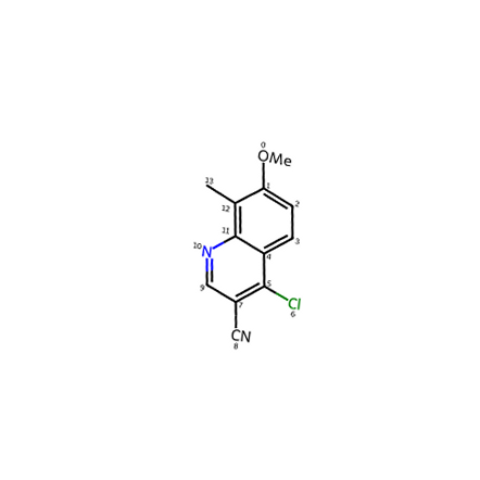 COc1ccc2c(Cl)c(C#N)cnc2c1C